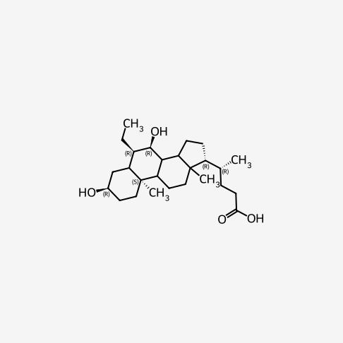 CC[C@@H]1C2C[C@H](O)CC[C@]2(C)C2CCC3(C)C(CC[C@@H]3[C@H](C)CCC(=O)O)C2[C@@H]1O